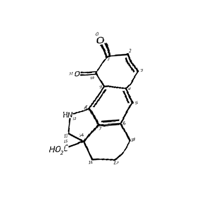 O=C1C=Cc2cc3c4c(c2C1=O)NCC4(C(=O)O)CCC3